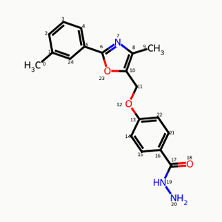 Cc1cccc(-c2nc(C)c(COc3ccc(C(=O)NN)cc3)o2)c1